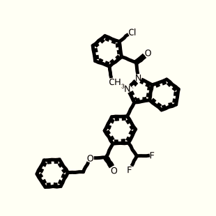 Cc1cccc(Cl)c1C(=O)n1nc(-c2ccc(C(=O)OCc3ccccc3)c(C(F)F)c2)c2ccccc21